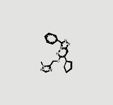 Cn1ncnc1COc1nn2c(-c3ccccc3)nnc2cc1C1CCCC1